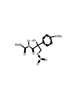 CCCC(CN=S(=O)=O)(C(=O)N(CC)C(=O)NC)c1ccc(OC)cc1